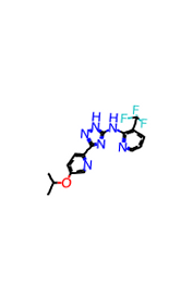 CC(C)Oc1ccc(-c2n[nH]c(Nc3ncccc3C(F)(F)F)n2)nc1